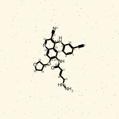 C#Cc1cccc(Nc2c(C#N)cnc3cc(OC4CCOC4)c(NC(=O)/C=C/CNN)cc23)c1